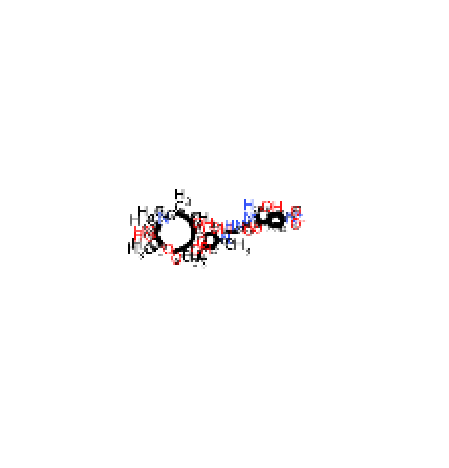 CC[C@H]1OC(=O)[C@H](C)[C@@H](O)C[C@@H](O[C@@H]2O[C@H](C)C[C@H](N(C)CCNC(=O)N[C@H](CO)[C@H](O)c3ccc([N+](=O)[O-])cc3)[C@H]2O)[C@](C)(O)C[C@@H](C)CN(C)[C@H](C)[C@@H](O)[C@]1(C)O